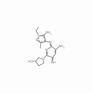 CCn1nc(C)c(N=C2N=C(N3CCC(O)C3)C(=N)C=C2N)c1N